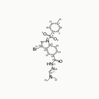 Cc1ccc(S(=O)(=O)n2cc(Br)c3cc(C(=O)N/N=C/N(C)C)ccc32)cc1